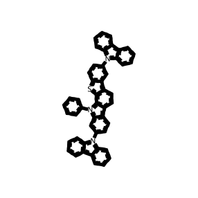 c1ccc(-n2c3cc(-n4c5ccccc5c5ccccc54)ccc3c3ccc4c5cc(-n6c7ccccc7c7ccccc76)ccc5sc4c32)cc1